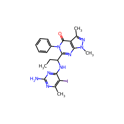 CCC(Nc1nc(N)nc(C)c1I)c1nc2c(c(C)nn2C)c(=O)n1-c1ccccc1